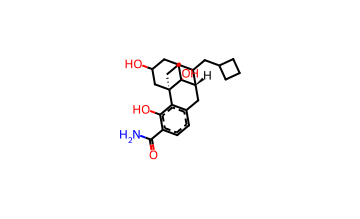 NC(=O)c1ccc2c(c1O)[C@]13CCC(CC4CCC4)[C@H](C2)[C@]1(O)CCC(O)C3